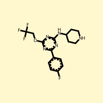 Fc1ccc(-c2nc(NC3CCNCC3)nc(OCC(F)(F)F)n2)cc1